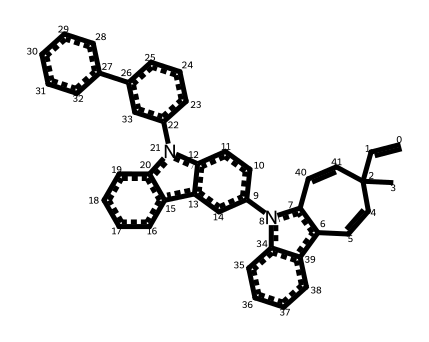 C=CC1(C)C=Cc2c(n(-c3ccc4c(c3)c3ccccc3n4-c3cccc(-c4ccccc4)c3)c3ccccc23)C=C1